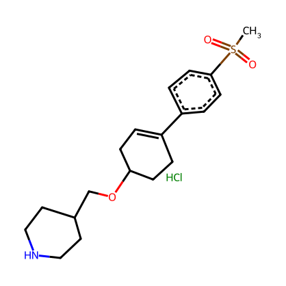 CS(=O)(=O)c1ccc(C2=CCC(OCC3CCNCC3)CC2)cc1.Cl